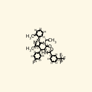 CCN1C(=O)[C@@H](NC(=O)c2cccc(C(F)(F)F)c2)[C@@H](c2ccc(F)cc2)c2c(C)nn(-c3ccccc3C)c21